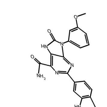 COc1cccc(-n2c(=O)[nH]c3c(C(N)=O)nc(-c4ccc5cn[nH]c5c4)nc32)c1